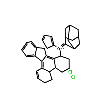 C1=CC[C]([Zr+2](=[C]2C3CC4CC(C3)CC2C4)[CH]2CCCC3C2=C2Cc4ccccc4C2=C2C=CCCC23)=C1.[Cl-].[Cl-]